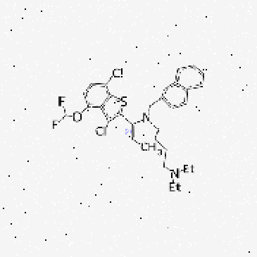 C/C=C(/c1sc2c(Cl)ccc(OC(F)F)c2c1Cl)N(CCCCN(CC)CC)Cc1ccc2ccccc2c1